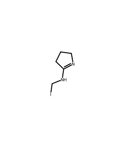 ICNC1=NCCC1